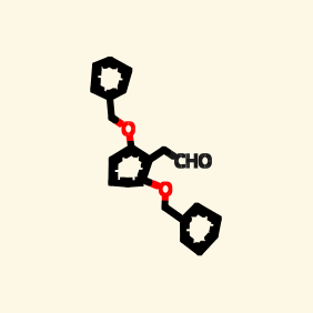 O=CCc1c(OCc2ccccc2)cccc1OCc1ccccc1